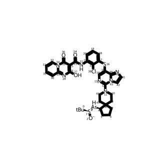 CC(C)(C)[S@+]([O-])[AsH][C@@H]1CCCC12CCN(c1ncc(Sc3cccc(NC(=O)c4c(O)nc5ccccn5c4=O)c3Cl)c3nccn13)CC2